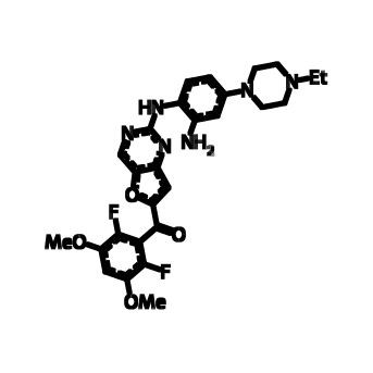 CCN1CCN(c2ccc(Nc3ncc4oc(C(=O)c5c(F)c(OC)cc(OC)c5F)cc4n3)c(N)c2)CC1